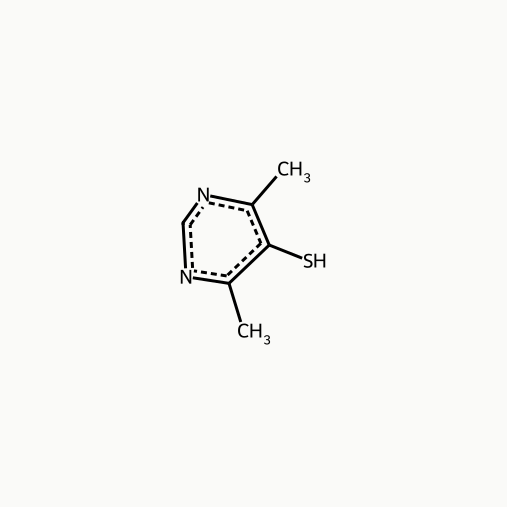 Cc1ncnc(C)c1S